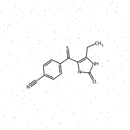 CCC1=C(C(=S)c2ccc(C#N)cc2)[N]C(=O)N1